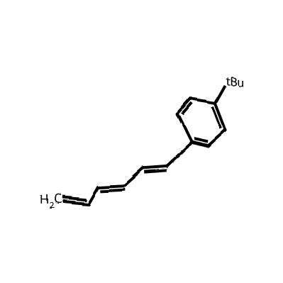 C=CC=CC=Cc1ccc(C(C)(C)C)cc1